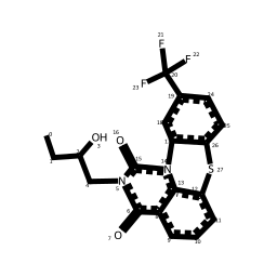 CCC(O)Cn1c(=O)c2cccc3c2n(c1=O)-c1cc(C(F)(F)F)ccc1S3